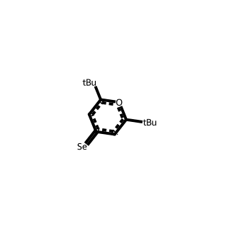 CC(C)(C)c1[c]c(=[Se])cc(C(C)(C)C)o1